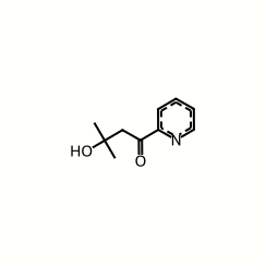 CC(C)(O)CC(=O)c1ccccn1